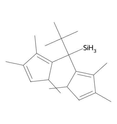 CC1=CC(C)C(C([SiH3])(C2=C(C)C(C)=CC2C)C(C)(C)C)=C1C